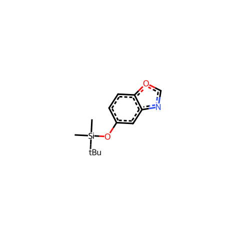 CC(C)(C)[Si](C)(C)Oc1ccc2ocnc2c1